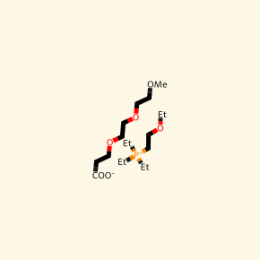 CCOCC[P+](CC)(CC)CC.COCCOCCOCCC(=O)[O-]